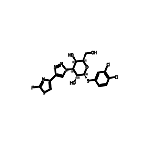 OC[C@H]1O[C@H](Sc2ccc(Cl)c(Cl)c2)[C@H](O)[C@@H](n2cc(-c3csc(F)n3)nn2)[C@H]1O